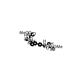 COC(=O)N[C@H](C(=O)N1CCC[C@H]1c1ncc(-c2ccc(-c3ccc4c(ccc5nc([C@@H]6C[Si](C)(C)CN6C(=O)[C@@H](NC(=O)OC)C6CCOCC6)[nH]c54)c3)cc2)[nH]1)C(C)C